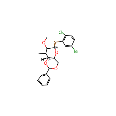 COC1C(C)[C@H]2OC(c3ccccc3)OCC2O[C@@H]1Sc1cc(Br)ccc1Cl